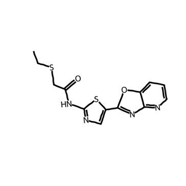 CCSCC(=O)Nc1ncc(-c2nc3ncccc3o2)s1